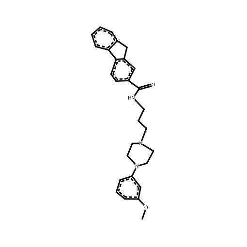 COc1cccc(N2CCN(CCCNC(=O)c3ccc4c(c3)Cc3ccccc3-4)CC2)c1